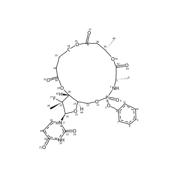 C[C@@H]1NP(=O)(Oc2ccccc2)OC[C@H]2O[C@@H](n3ccc(=O)[nH]c3=O)[C@](C)(F)[C@@H]2OC(=O)CCCOC(=O)C[C@H](C)OC1=O